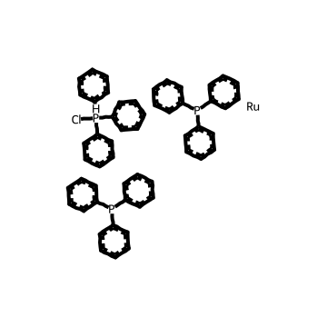 Cl[PH](c1ccccc1)(c1ccccc1)c1ccccc1.[Ru].c1ccc(P(c2ccccc2)c2ccccc2)cc1.c1ccc(P(c2ccccc2)c2ccccc2)cc1